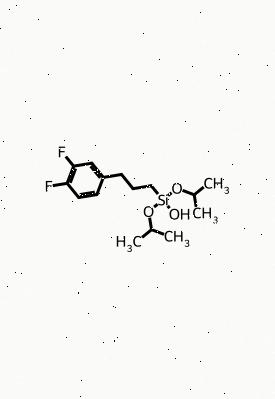 CC(C)O[Si](O)(CCCc1ccc(F)c(F)c1)OC(C)C